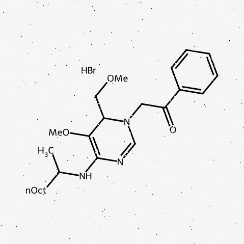 Br.CCCCCCCCC(C)NC1=C(OC)C(COC)N(CC(=O)c2ccccc2)C=N1